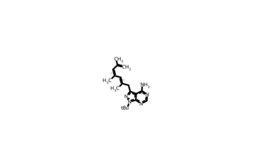 C=C(C)/C=C(C)\C=C(/C)Cc1nn(C(C)(C)C)c2ncnc(N)c12